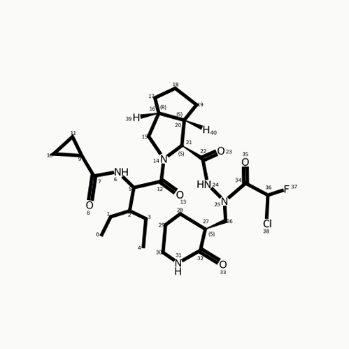 CCC(CC)C(NC(=O)C1CC1)C(=O)N1C[C@@H]2CCC[C@@H]2[C@H]1C(=O)NN(C[C@@H]1CCCNC1=O)C(=O)C(F)Cl